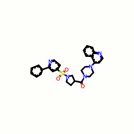 O=C(C1CCN(S(=O)(=O)c2ccnc(-c3ccccc3)c2)C1)N1CCN(c2ccnc3ccccc23)CC1